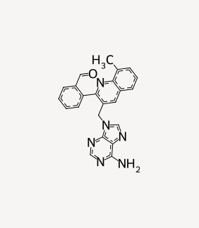 Cc1cccc2cc(Cn3cnc4c(N)ncnc43)c(-c3ccccc3C=O)nc12